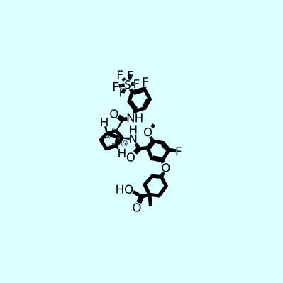 COc1cc(F)c(OC2CCC(C)(C(=O)O)CC2)cc1C(=O)N[C@H]1[C@@H]2CC[C@@H](C2)[C@H]1C(=O)Nc1ccc(F)c(S(F)(F)(F)(F)F)c1